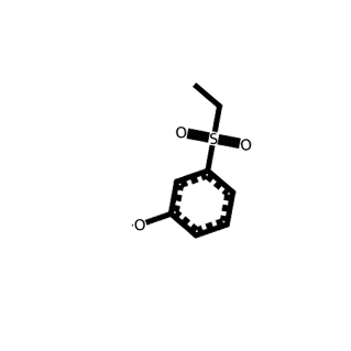 CCS(=O)(=O)c1cccc([O])c1